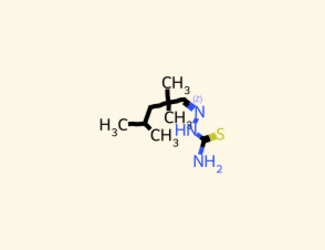 CC(C)CC(C)(C)/C=N\NC(N)=S